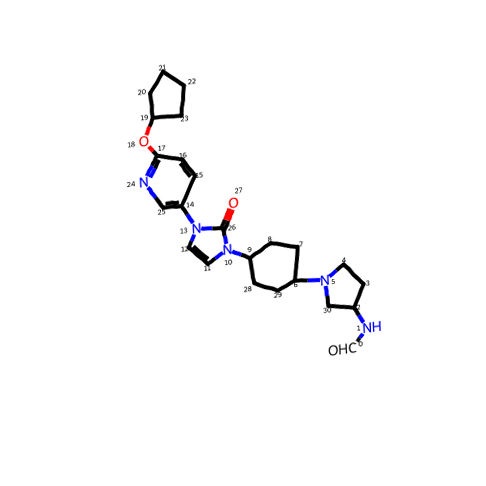 O=CNC1CCN(C2CCC(n3ccn(-c4ccc(OC5CCCC5)nc4)c3=O)CC2)C1